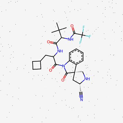 CC(C)(C)C(NC(=O)C(F)(F)F)C(=O)NC(CC1CCC1)C(=O)N1C(=O)[C@@]2(CN[C@H](C#N)C2)c2ccccc21